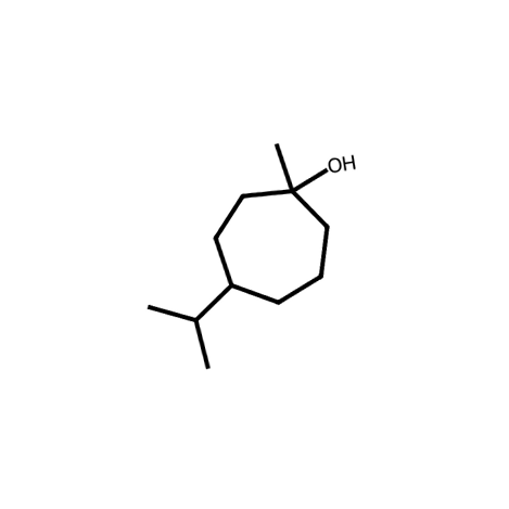 CC(C)C1CCCC(C)(O)CC1